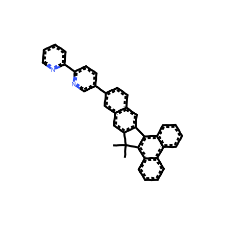 CC1(C)c2cc3cc(-c4ccc(-c5ccccn5)nc4)ccc3cc2-c2c1c1ccccc1c1ccccc21